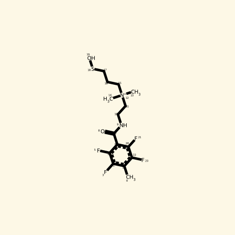 Cc1c(F)c(F)c(C(=O)NCC[N+](C)(C)CCCSO)c(F)c1F